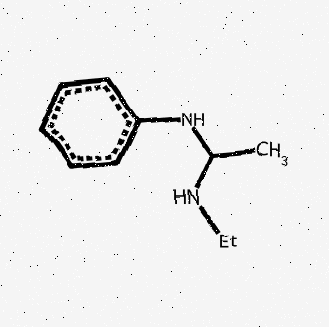 CCNC(C)Nc1ccccc1